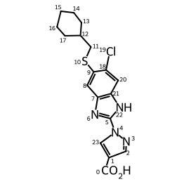 O=C(O)c1cnn(-c2nc3cc(SCC4CCCCC4)c(Cl)cc3[nH]2)c1